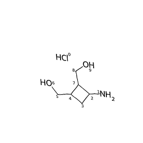 Cl.NC1CC(CO)C1CO